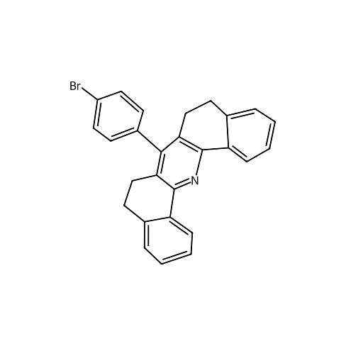 Brc1ccc(-c2c3c(nc4c2CCc2ccccc2-4)-c2ccccc2CC3)cc1